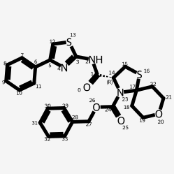 O=C(Nc1nc(-c2ccccc2)cs1)[C@@H]1CSC2(CCOCC2)N1C(=O)OCc1ccccc1